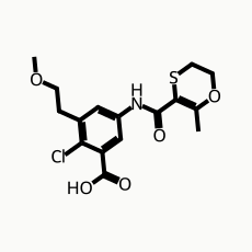 COCCc1cc(NC(=O)C2=C(C)OCCS2)cc(C(=O)O)c1Cl